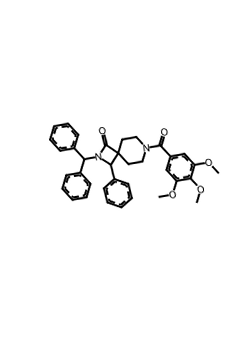 COc1cc(C(=O)N2CCC3(CC2)C(=O)N(C(c2ccccc2)c2ccccc2)C3c2ccccc2)cc(OC)c1OC